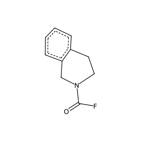 O=C(F)N1CCc2ccccc2C1